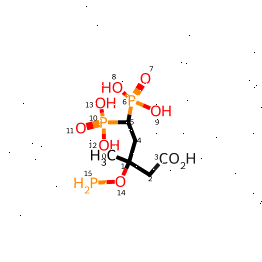 CC(CC(=O)O)(CC(P(=O)(O)O)P(=O)(O)O)OP